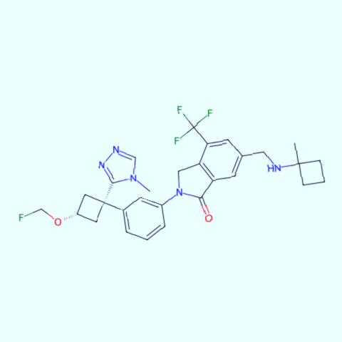 Cn1cnnc1[C@]1(c2cccc(N3Cc4c(cc(CNC5(C)CCC5)cc4C(F)(F)F)C3=O)c2)C[C@H](OCF)C1